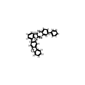 c1ccc(-c2ccc3nc4c5cccc6c7cc8oc9ccccc9c8cc7n(c4nc3c2)c65)cc1